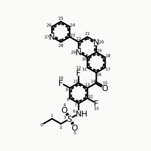 CCCS(=O)(=O)Nc1cc(F)c(F)c(C(=O)c2ccc3ncc(-c4cccnc4)nc3c2)c1F